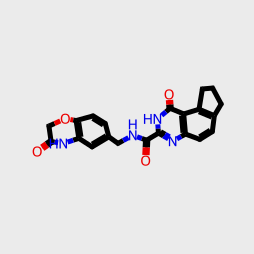 O=C1COc2ccc(CNC(=O)c3nc4ccc5c(c4c(=O)[nH]3)CCC5)cc2N1